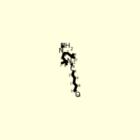 CC1(C)CC(=NN)CC(C)(C)N1CCCCCCC[C]=O